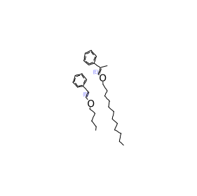 CCCCCCCCCCCCO/C=C(\C)c1ccccc1.CCCCCO/C=C/c1ccccc1